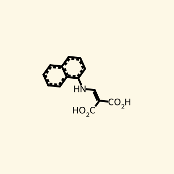 O=C(O)C(=CNc1cccc2ccccc12)C(=O)O